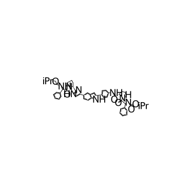 CC(C)OCN[C@@H](C(=O)N1CCC[C@H]1c1nc(-c2ccc3[nH]c(-c4ccc(NC(=O)[C@@H]5CCCN5C(=O)[C@H](NC(=O)OC(C)C)c5ccccc5)cc4)cc3c2)c[nH]1)c1ccccc1